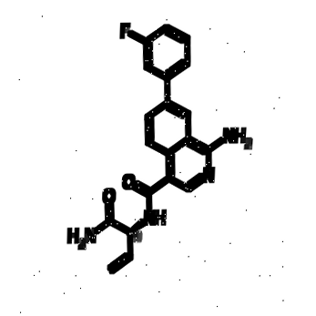 C=C[C@H](NC(=O)c1cnc(N)c2cc(-c3cccc(F)c3)ccc12)C(N)=O